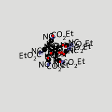 [C-]#[N+]/C(=C\c1ccc(N(C)CCOC(=O)C2C(C(=O)OCCN(C)c3ccc(/C=C(\[N+]#[C-])C(=O)OCC)cc3)C(C(=O)OCCN(C)c3ccc(/C=C(\C#N)C(=O)OCC)cc3)C(C(=O)OCCN(C)c3ccc(/C=C(\C#N)C(=O)OCC)cc3)C(C(=O)OCCN(C)c3ccc(/C=C(\C#N)C(=O)OCC)cc3)C2C(=O)OCCN(C)c2ccc(/C=C(\C#N)C(=O)OCC)cc2)cc1)C(=O)OCC